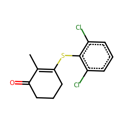 CC1=C(Sc2c(Cl)cccc2Cl)CCCC1=O